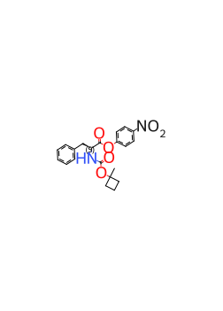 CC1(OC(=O)N[C@@H](Cc2ccccc2)C(=O)Oc2ccc([N+](=O)[O-])cc2)CCC1